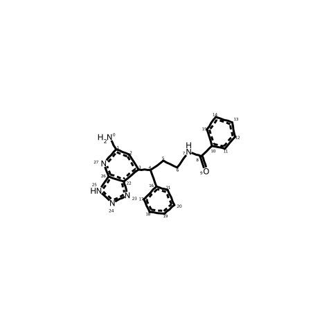 Nc1cc(C(CCNC(=O)c2ccccc2)c2ccccc2)c2nn[nH]c2n1